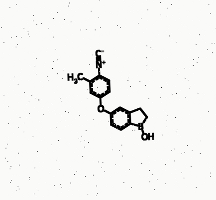 [C-]#[N+]c1ccc(Oc2ccc3c(c2)CCB3O)cc1C